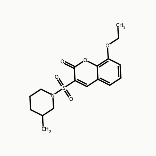 CCOc1cccc2cc(S(=O)(=O)N3CCCC(C)C3)c(=O)oc12